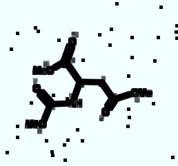 COC(=O)CC(NC(=O)OC)C(=O)OC